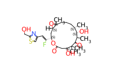 CC1C(=O)C(C)(C)[C@@H](O)CC(=O)O[C@H](C(F)=Cc2csc(CO)n2)C[C@@H]2O[C@]2(C)CCC[C@H](C)[C@@H]1O